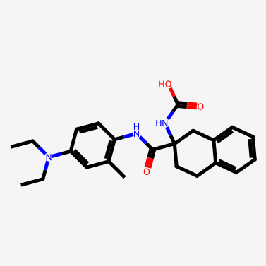 CCN(CC)c1ccc(NC(=O)C2(NC(=O)O)CCc3ccccc3C2)c(C)c1